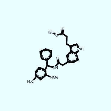 CNc1cc(C)ccc1C(NC(=O)Cc1ccc2[nH]cc(CCC(=O)OC(C)(C)C)c2c1)c1ccccc1